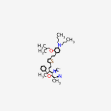 [C-]#[N+]C1=C(/C=C/c2ccc(/C=C/c3ccc(N(CCCC)CCCC)cc3OCC(=C)C)s2)C(C)(c2ccccc2)O/C1=C(\C)C#N